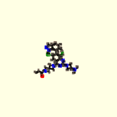 C=CC(=O)N1CC2(C1)CN(c1nc(N3CC(N(C)C)C3)nc3c(F)c(-c4c(C)ccc5cnn(C)c45)c(Cl)cc13)C2